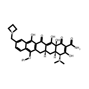 CC(C)Oc1c2c(c(O)c3cc(CN4CCC4)ccc13)C(=O)C1=C(O)[C@]3(O)C(=O)C(C(N)=O)=C(O)[C@@H](N(C)C)[C@@H]3C[C@@H]1C2